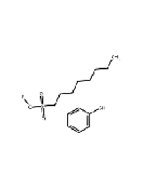 CCCCCCCCS(=O)(=O)OF.Sc1ccccc1